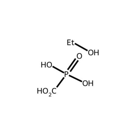 CCO.O=C(O)P(=O)(O)O